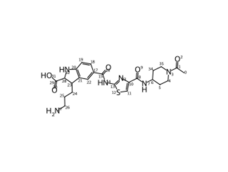 CC(=O)N1CCC(NC(=O)c2csc(NC(=O)c3ccc4c(c3)C(CCCN)C(C(=O)O)N4)n2)CC1